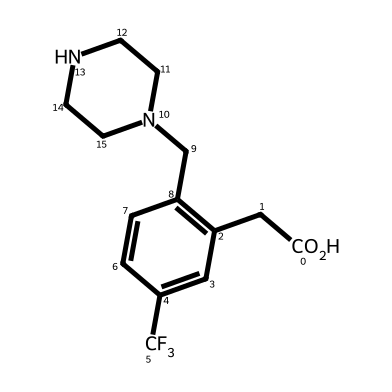 O=C(O)Cc1cc(C(F)(F)F)ccc1CN1CCNCC1